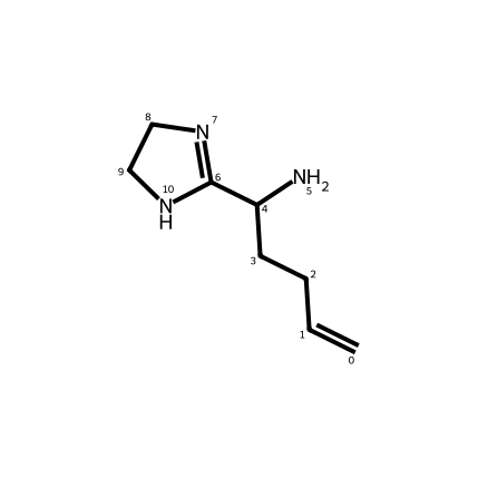 C=CCCC(N)C1=NCCN1